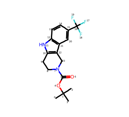 CC(C)(C)OC(=O)N1CCc2[nH]c3ccc(C(F)(F)F)cc3c2C1